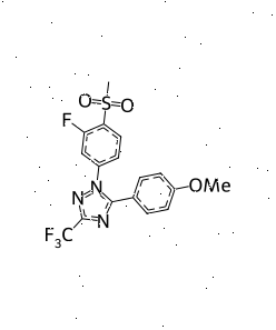 COc1ccc(-c2nc(C(F)(F)F)nn2-c2ccc(S(C)(=O)=O)c(F)c2)cc1